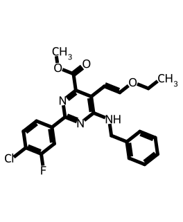 CCOC=Cc1c(NCc2ccccc2)nc(-c2ccc(Cl)c(F)c2)nc1C(=O)OC